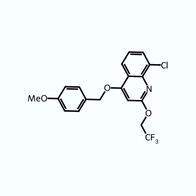 COc1ccc(COc2cc(OCC(F)(F)F)nc3c(Cl)cccc23)cc1